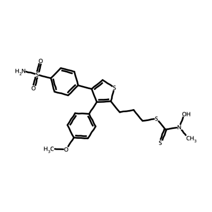 COc1ccc(-c2c(-c3ccc(S(N)(=O)=O)cc3)csc2CCCSC(=S)N(C)O)cc1